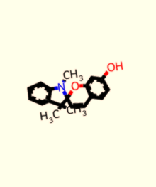 CN1c2ccccc2C(C)(C)C12C=Cc1ccc(O)cc1O2